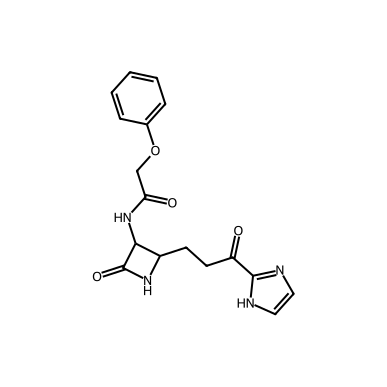 O=C(COc1ccccc1)NC1C(=O)NC1CCC(=O)c1ncc[nH]1